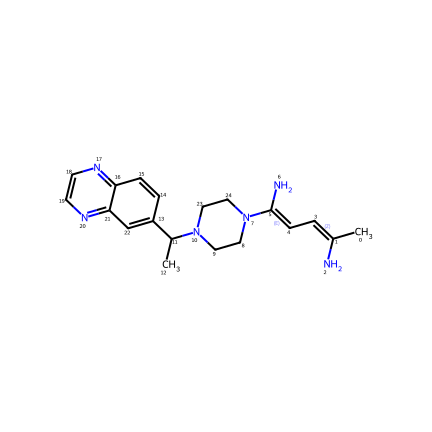 C/C(N)=C/C=C(\N)N1CCN(C(C)c2ccc3nccnc3c2)CC1